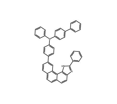 c1ccc(-c2ccc(N(c3ccccc3)c3ccc(-c4ccc5ccc6ccc7nc(-c8ccccc8)[nH]c7c6c5c4)cc3)cc2)cc1